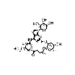 C[C@H](CCC(=O)O[C@H](C)[C@H](NC(=O)Nc1ncnc2c1ncn2[C@@H]1OC[C@@H](O)[C@H](O)[C@@H]1O)C(=O)O)O[C@@H]1O[C@@H](C)[C@H](O)C[C@@H]1O